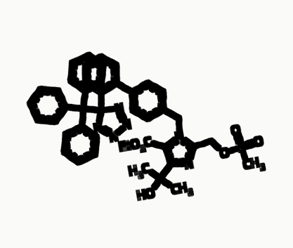 CCOC(=O)c1c(C(C)(C)O)nc(COS(C)(=O)=O)n1Cc1ccc(-c2ccccc2C2(C(c3ccccc3)(c3ccccc3)c3ccccc3)N=NN=N2)cc1